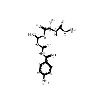 CC(OC(=O)NC(=N)c1ccc(N)cc1)OC(=O)[C@@H](NC(=O)OC(C)(C)C)C(C)C